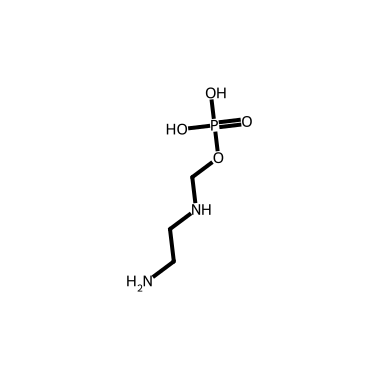 NCCNCOP(=O)(O)O